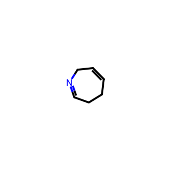 C1=CCN=CCC1